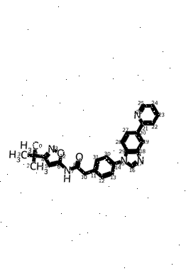 CC(C)(C)c1cc(NC(=O)Cc2ccc(-n3cnc4cc(-c5ccccn5)ccc43)cc2)on1